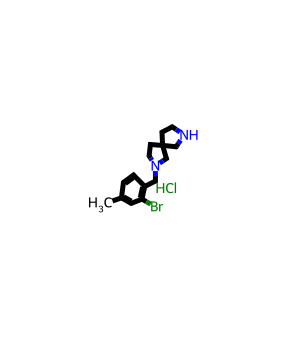 Cc1ccc(CN2CCC3(CCNC3)C2)c(Br)c1.Cl